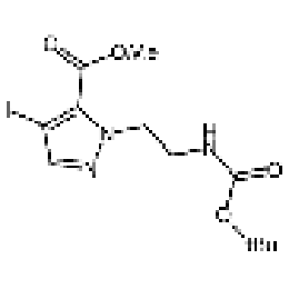 COC(=O)c1c(I)cnn1CCNC(=O)OC(C)(C)C